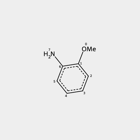 [CH2]Oc1ccccc1N